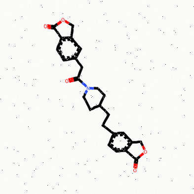 O=C1OCc2cc(CCC3CCN(C(=O)Cc4ccc5c(c4)COC5=O)CC3)ccc21